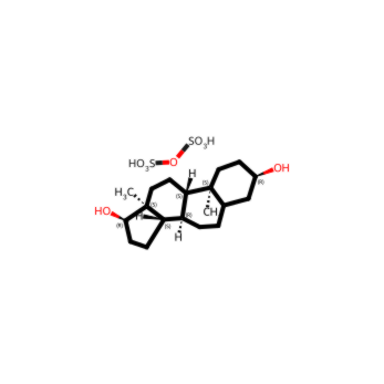 C[C@]12CC[C@H]3[C@@H](CCC4C[C@H](O)CC[C@@]43C)[C@@H]1CC[C@H]2O.O=S(=O)(O)OS(=O)(=O)O